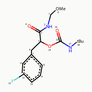 COCNC(=O)C(Cc1cccc(F)c1)OC(=O)NC(C)(C)C